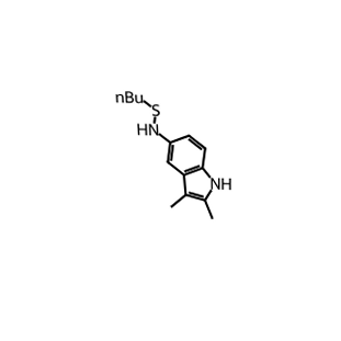 CCCCSNc1ccc2[nH]c(C)c(C)c2c1